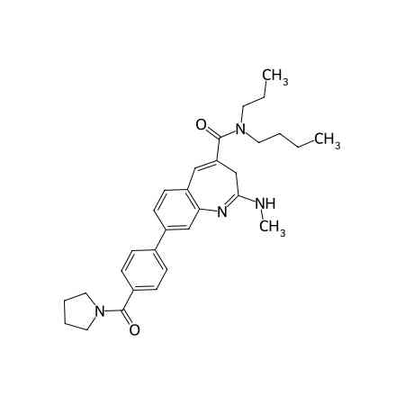 CCCCN(CCC)C(=O)C1=Cc2ccc(-c3ccc(C(=O)N4CCCC4)cc3)cc2N=C(NC)C1